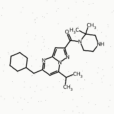 CC(C)c1cc(CC2CCCCC2)nc2cc(C(=O)N3CCNCC3(C)C)nn12